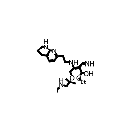 CCOC(O)/C(C=N)=C(\COC(C)(C)CNI)NCCc1ccc2c(n1)NCCC2